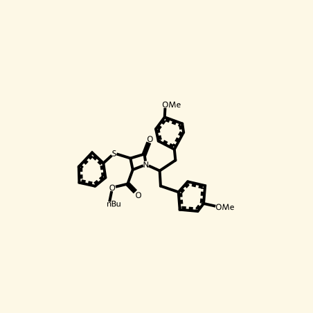 CCCCOC(=O)C1C(Sc2ccccc2)C(=O)N1C(Cc1ccc(OC)cc1)Cc1ccc(OC)cc1